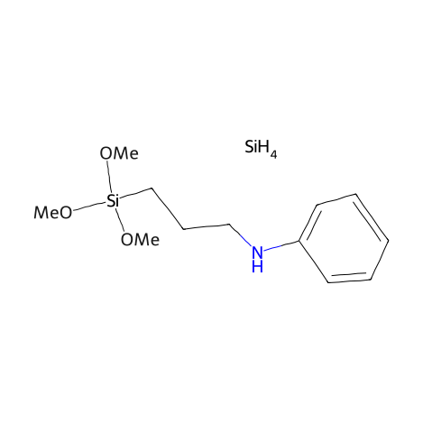 CO[Si](CCCNc1ccccc1)(OC)OC.[SiH4]